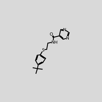 CC(C)(C)c1ccc(SCCNC(=O)c2cncnc2)cc1